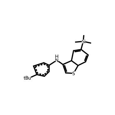 CC(C)(C)c1ccc(NC2=CSC3C=CC([Si](C)(C)C)=CC23)cc1